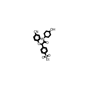 CCS(=O)(=O)c1ccc(C(Oc2ccc(C#N)cc2)C(=O)NC2CCC(O)CC2)cc1